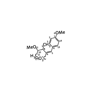 COc1ccc(C=C(C(=O)O)C(C)C(C)OC)cc1